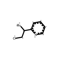 CCC(C)C(CCl)c1ccccn1